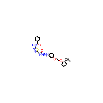 Cc1ccccc1OCCOc1cccc(CNNC(=O)Cc2nnc(NC(=O)c3ccccc3)s2)c1